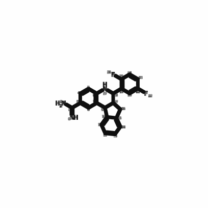 N=C(N)c1ccc2c(c1)C1c3ccccc3CC1C(c1cc(F)ccc1F)N2